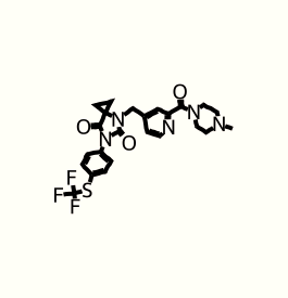 CN1CCN(C(=O)c2cc(CN3C(=O)N(c4ccc(SC(F)(F)F)cc4)C(=O)C34CC4)ccn2)CC1